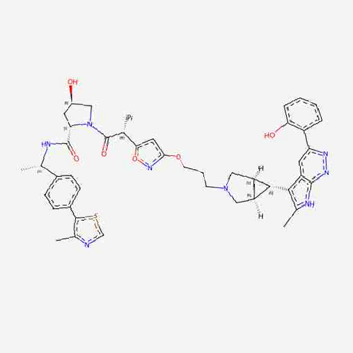 Cc1ncsc1-c1ccc([C@H](C)NC(=O)[C@@H]2C[C@@H](O)CN2C(=O)[C@@H](c2cc(OCCCN3C[C@@H]4[C@H](C3)[C@H]4c3c(C)[nH]c4nnc(-c5ccccc5O)cc34)no2)C(C)C)cc1